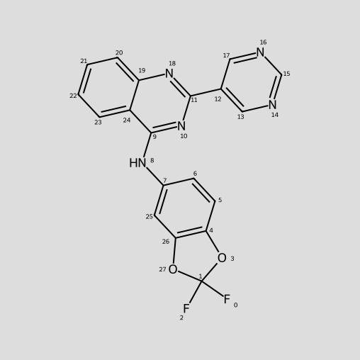 FC1(F)Oc2ccc(Nc3nc(-c4cncnc4)nc4ccccc34)cc2O1